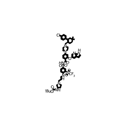 CC1(C)CCC(CN2CCN(c3ccc(C(=O)NS(=O)(=O)c4ccc(NCCCN5CC[C@H](NC(=O)OC(C)(C)C)C5)c(S(=O)(=O)C(F)(F)F)c4)c(Oc4cnc5[nH]ccc5c4)c3)CC2)=C(c2ccc(Cl)cc2)C1